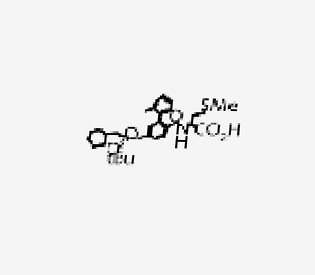 CSCCC(NC(=O)c1ccc(CO[C@H](COC(C)(C)C)CC2CCCCC2)cc1-c1ccccc1C)C(=O)O